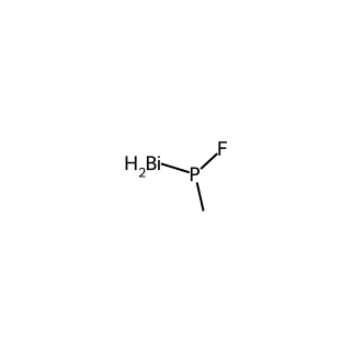 C[P](F)[BiH2]